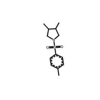 Cc1ccc(S(=O)(=O)N2CC(C)C(C)C2)cc1